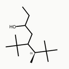 CCC(O)CC([C@H](C)C(C)(C)C)C(C)(C)C